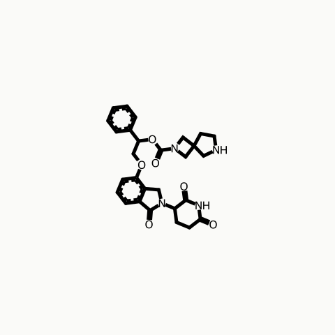 O=C1CCC(N2Cc3c(OCC(OC(=O)N4CC5(CCNC5)C4)c4ccccc4)cccc3C2=O)C(=O)N1